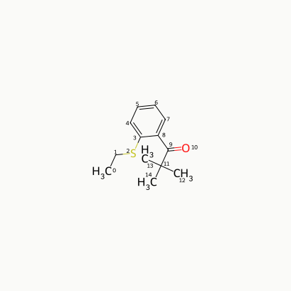 CCSc1ccccc1C(=O)C(C)(C)C